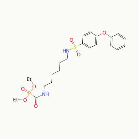 CCOP(=O)(OCC)C(=O)NCCCCCCNS(=O)(=O)c1ccc(Oc2ccccc2)cc1